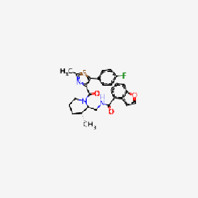 Cc1nc(C(=O)N2CCC[C@@H](C)C2CNC(=O)c2cccc3occc23)c(-c2ccc(F)cc2)s1